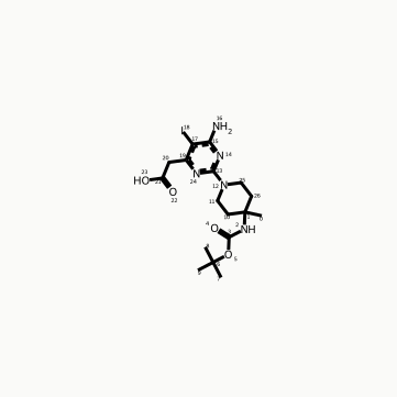 CC1(NC(=O)OC(C)(C)C)CCN(c2nc(N)c(I)c(CC(=O)O)n2)CC1